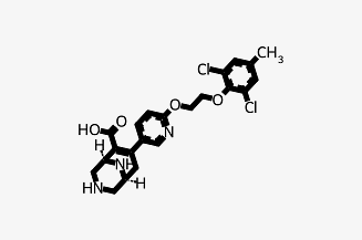 Cc1cc(Cl)c(OCCOc2ccc(C3=C(C(=O)O)[C@@H]4CNC[C@H](C3)N4)cn2)c(Cl)c1